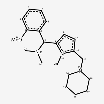 COc1ccccc1C(c1ccc(CN2CCCCC2)n1C)N(C)C